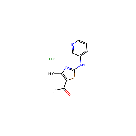 Br.CC(=O)c1sc(Nc2cccnc2)nc1C